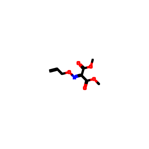 C=CCON=C(C(=O)OC)C(=O)OC